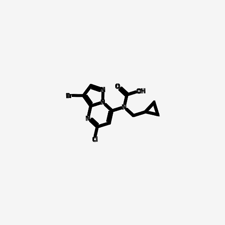 O=C(O)N(CC1CC1)c1cc(Cl)nc2c(Br)cnn12